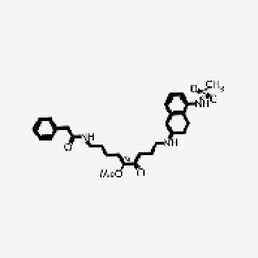 CO[C@@H](CCCCNC(=O)Cc1ccccc1)C(=O)CCCNC1CCc2c(cccc2NS(C)(=O)=O)C1